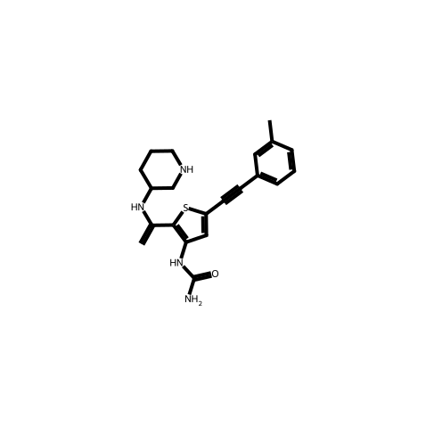 C=C(NC1CCCNC1)c1sc(C#Cc2cccc(C)c2)cc1NC(N)=O